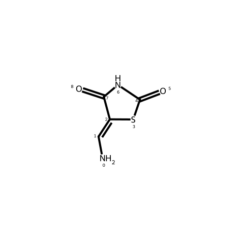 N/C=C1\SC(=O)NC1=O